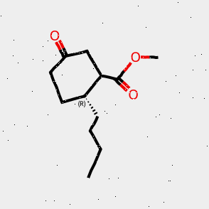 CCCC[C@@H]1CCC(=O)CC1C(=O)OC